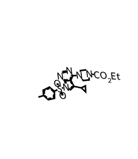 CCOC(=O)N1CCN(c2ncnc3c2c(C2CC2)cn3S(=O)(=O)c2ccc(C)cc2)CC1